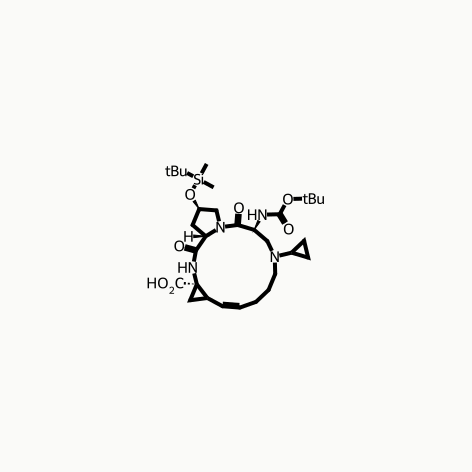 CC(C)(C)OC(=O)N[C@H]1CN(C2CC2)CCC/C=C\C2C[C@@]2(C(=O)O)NC(=O)[C@@H]2C[C@@H](O[Si](C)(C)C(C)(C)C)CN2C1=O